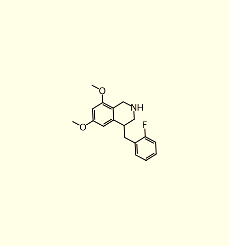 COc1cc(OC)c2c(c1)C(Cc1ccccc1F)CNC2